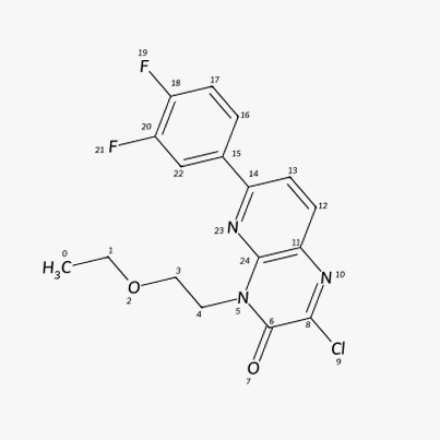 CCOCCn1c(=O)c(Cl)nc2ccc(-c3ccc(F)c(F)c3)nc21